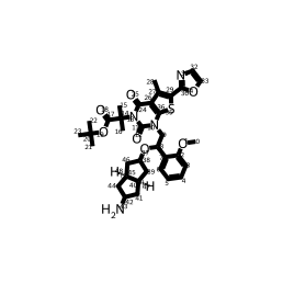 COc1ccccc1C(Cn1c(=O)n(C(C)(C)C(=O)OC(C)(C)C)c(=O)c2c(C)c(-c3ncco3)sc21)OC1C[C@H]2CC(N)C[C@H]2C1